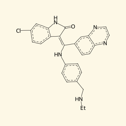 CCNCc1ccc(NC(=C2C(=O)Nc3cc(Cl)ccc32)c2ccc3nccnc3c2)cc1